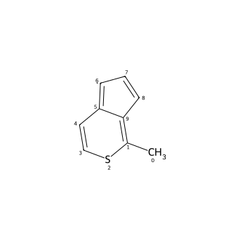 Cc1sccc2[c]ccc1-2